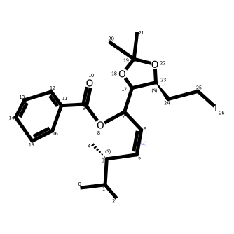 CC(C)[C@H](C)/C=C\C(OC(=O)c1ccccc1)C1OC(C)(C)O[C@H]1CCI